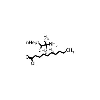 CCCCCCCC(C)C(C)(C)N.CCCCCCCCCC(=O)O